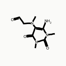 CN(CC=O)c1c(N)n(C)c(=O)n(C)c1=O